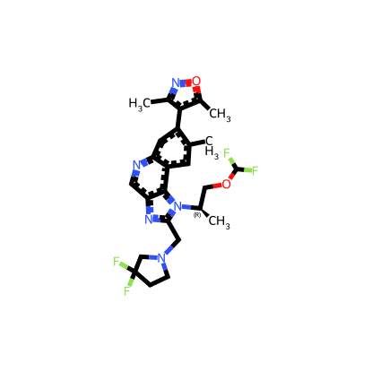 Cc1cc2c(cc1-c1c(C)noc1C)ncc1nc(CN3CCC(F)(F)C3)n([C@H](C)COC(F)F)c12